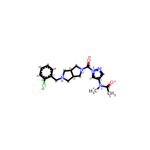 CC(=O)N(C)c1cnn(C(=O)N2CC3CN(Cc4ccccc4Cl)CC3C2)c1